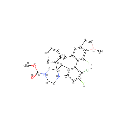 Cc1cc2c(c(F)c1-c1c(Cl)c(F)cc3c1CC1(c4ccccc4)CN(C(=O)OC(C)(C)C)CCN31)B(C#N)C=C2